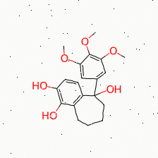 COc1cc(C2(O)CCCCc3c2ccc(O)c3O)cc(OC)c1OC